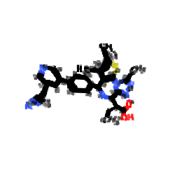 CC[C@H](C(=O)O)C1N=C(c2ccc(-c3cncc(C#N)c3)cc2)c2c(sc(C)c2C)-n2c(C)nnc21